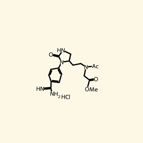 COC(=O)CN(CCC1CNC(=O)N1c1ccc(C(=N)N)cc1)C(C)=O.Cl